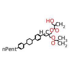 C=C(C)C(=O)OCC(C)(CCc1ccc(C2CCC(c3ccc(CCCCC)cc3)CC2)cc1)COC(=O)C(=C)CO